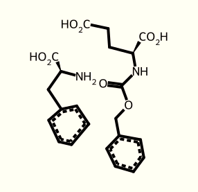 N[C@@H](Cc1ccccc1)C(=O)O.O=C(O)CC[C@H](NC(=O)OCc1ccccc1)C(=O)O